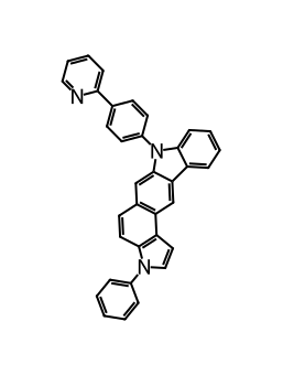 c1ccc(-n2ccc3c4cc5c6ccccc6n(-c6ccc(-c7ccccn7)cc6)c5cc4ccc32)cc1